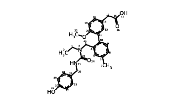 CCN(Cc1cc(C)ccc1-c1cc(CC(=O)O)ccc1OC)C(=O)NCc1ccc(O)cc1